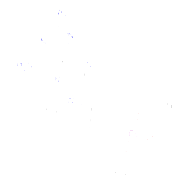 CCOP(=O)(OCC)c1ccc(N(C)c2cnc3nc(N)nc(N)c3n2)cc1